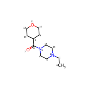 CCN1CCN(C(=O)C2CCOCC2)CC1